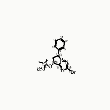 CC(C)(C)[Si](C)(C)O[C@@H]1C[C@@H](c2ccccc2)n2nc(Br)nc21